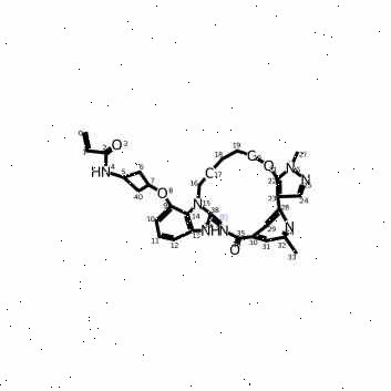 C=CC(=O)NC1CC(Oc2cccc3c2N2CCCCCOc4c(cnn4C)-c4cc(cc(C)n4)C(=O)/N=C/2N3)C1